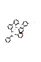 COc1ccc2c(c1)c1cc(OC)ccc1n2-c1cccc2c1[Si](C)(C)c1c(-c3nc(-c4ccccc4)nc(-c4ccccc4)n3)cccc1-2